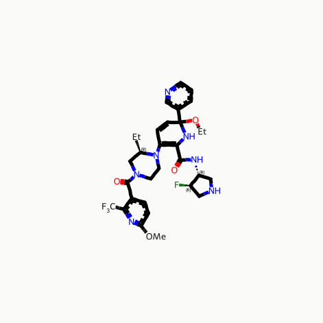 CCOC1(c2cccnc2)C=CC(N2CCN(C(=O)c3ccc(OC)nc3C(F)(F)F)C[C@H]2CC)=C(C(=O)N[C@@H]2CNC[C@H]2F)N1